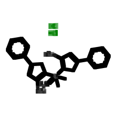 CCCCC1=[C]([Hf]([CH3])([CH3])(=[SiH2])[C]2=C(CCCC)C=C(c3ccccc3)C2)CC(c2ccccc2)=C1.Cl.Cl